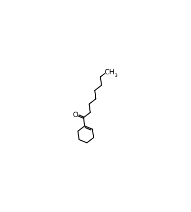 CCCCCCCC(=O)C1=CCCCC1